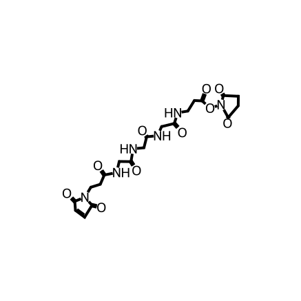 O=C(CCN1C(=O)C=CC1=O)NCC(=O)NCC(=O)NCC(=O)NCCC(=O)ON1C(=O)CCC1=O